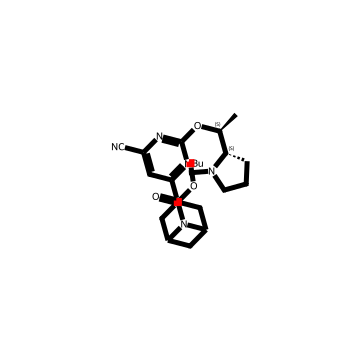 C[C@H](Oc1nc(C#N)cc(N2CC3CC(C2)N3C(=O)OC(C)(C)C)n1)[C@@H]1CCCN1C